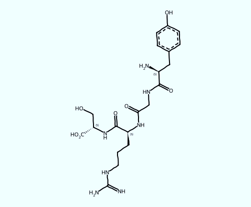 N=C(N)NCCC[C@H](NC(=O)CNC(=O)[C@@H](N)Cc1ccc(O)cc1)C(=O)N[C@@H](CO)C(=O)O